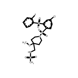 COC1(CNS(C)(=O)=O)CCN(S(=O)(=O)c2ccc(Cl)cc2S(=O)(=O)c2ccccc2F)CC1